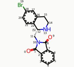 O=C1c2ccccc2C(=O)N1C[C@H]1NCCc2cc(Br)ccc21